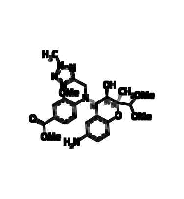 COC(=O)c1ccc(N(Cc2nnn(C)n2)[C@H]2c3cc(N)ccc3O[C@](C)(C(OC)OC)[C@@H]2O)c(OC)c1